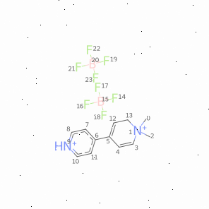 C[N+]1(C)C=CC(c2cc[nH+]cc2)=CC1.F[B-](F)(F)F.F[B-](F)(F)F